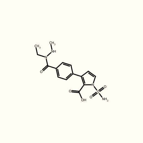 CCN(NC)C(=O)c1ccc(-c2ccn(S(N)(=O)=O)c2C(=O)O)cc1